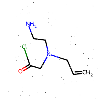 C=CCN(CCN)CC(=O)Cl